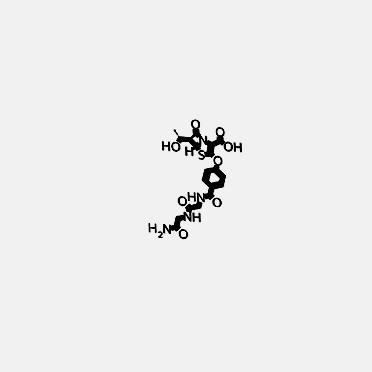 C[C@@H](O)[C@H]1C(=O)N2C(C(=O)O)=C(Oc3ccc(C(=O)NCC(=O)NCC(N)=O)cc3)S[C@H]12